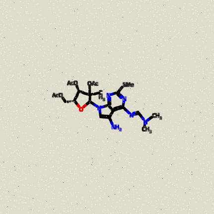 CSc1nc(/N=C/N(C)C)c2c(N)cn(C3O[C@H](COC(C)=O)[C@@H](OC(C)=O)C3(C)OC(C)=O)c2n1